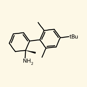 Cc1cc(C(C)(C)C)cc(C)c1C1=CC=CC[C@@]1(C)N